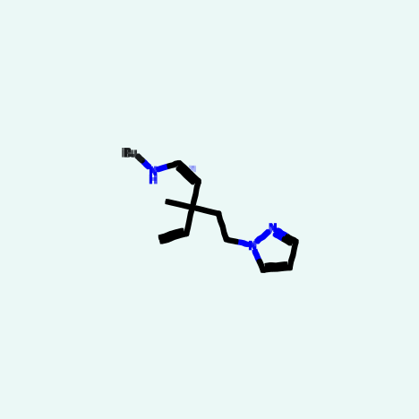 C=CC(C)(/C=C\NC(C)CC)CCn1cccn1